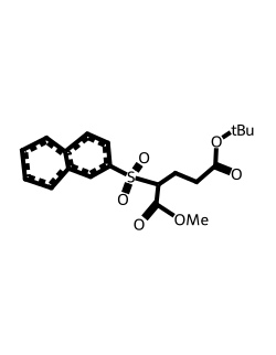 COC(=O)C(CCC(=O)OC(C)(C)C)S(=O)(=O)c1ccc2ccccc2c1